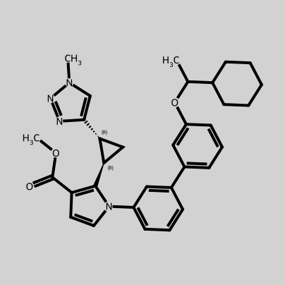 COC(=O)c1ccn(-c2cccc(-c3cccc(OC(C)C4CCCCC4)c3)c2)c1[C@@H]1C[C@H]1c1cn(C)nn1